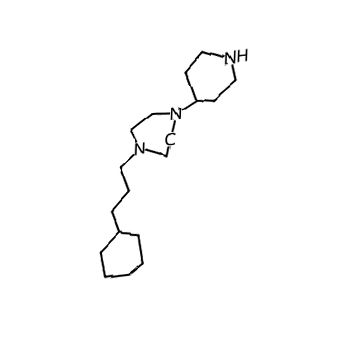 C1CCC(CCCN2CCN(C3CCNCC3)CC2)CC1